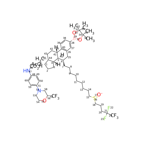 CC(=O)O[C@H]1CC[C@H]2[C@@H]3[C@H](CCCCCCCCC[S+]([O-])CCCC(F)(F)C(F)(F)F)Cc4cc(B5OC(C)(C)C(C)(C)O5)ccc4[C@H]3CC[C@]12C.O=C(O)Nc1ccc(N2CCOC(C(F)(F)F)C2)cc1